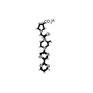 CC1CN(c2cnc(-c3ncccn3)cn2)CCN1C(=O)CN1CCC(C(=O)O)C1